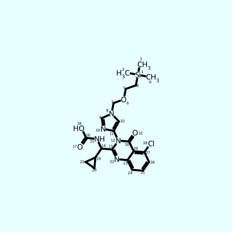 C[Si](C)(C)CCOCn1cnc(-n2c(C(NC(=O)O)C3CC3)nc3cccc(Cl)c3c2=O)c1